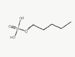 CCCCC[O][Sb](=[O])([OH])[OH]